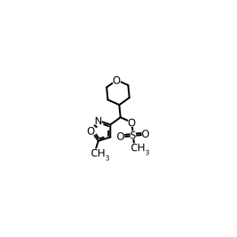 Cc1cc(C(OS(C)(=O)=O)C2CCOCC2)no1